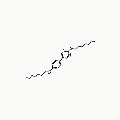 CCCCCCCOc1ccc(-c2cnc(SCCCCCCC)nc2)cc1